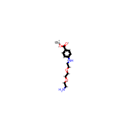 CC(C)(C)OC(=O)c1ccc(NCCOCCOCCN)cc1